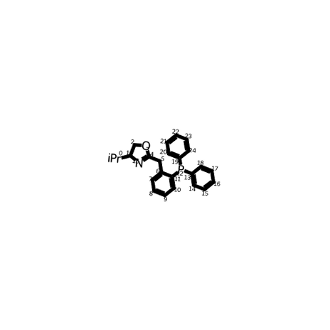 CC(C)C1COC(Cc2ccccc2P(c2ccccc2)c2ccccc2)=N1